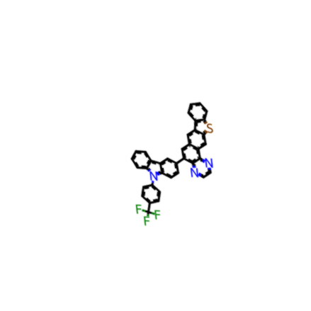 FC(F)(F)c1ccc(-n2c3ccccc3c3cc(-c4cc5cc6c(cc5c5nccnc45)sc4ccccc46)ccc32)cc1